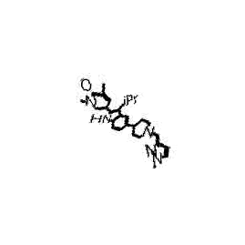 Cc1cc(-c2[nH]c3ccc(C4CCN(Cc5ccn(C)n5)CC4)cc3c2C(C)C)cn(C)c1=O